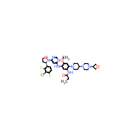 C=CC(=O)Nc1cc(Nc2cc(N3OCC[C@@H]3c3ccc(F)c(Cl)c3F)ncn2)c(OC)cc1N1CCC(N2CCN(C3COC3)CC2)CC1